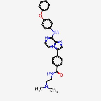 CN(C)CCNC(=O)c1ccc(-c2cnc3c(Nc4ccc(Oc5ccccc5)cc4)nccn23)cc1